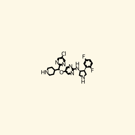 Fc1ccc(F)c([C@H]2CNC[C@@H]2Nc2ncc(OC(c3ncc(Cl)cn3)C3CCNCC3)cn2)c1